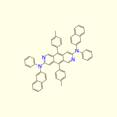 Cc1ccc(-c2c3cnc(N(c4ccccc4)c4ccc5ccccc5c4)cc3c(-c3ccc(C)cc3)c3cnc(N(c4ccccc4)c4ccc5ccccc5c4)cc23)cc1